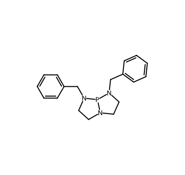 c1ccc(CN2CCN3CCN(Cc4ccccc4)P32)cc1